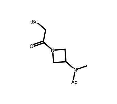 CC(=O)N(C)C1CN(C(=O)CC(C)(C)C)C1